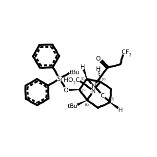 CC(C)(C)[C@@]12C[C@H]3C[C@H]([C@@H]([C@@H]1O[Si](c1ccccc1)(c1ccccc1)C(C)(C)C)N(C(=O)CC(F)(F)F)C3)N2C(=O)O